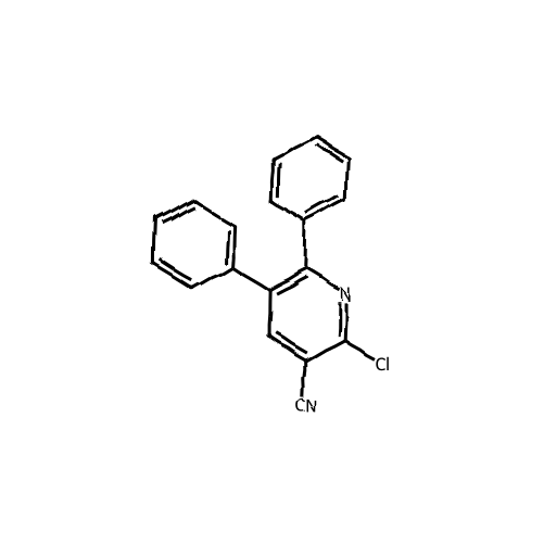 N#Cc1cc(-c2ccccc2)c(-c2ccccc2)nc1Cl